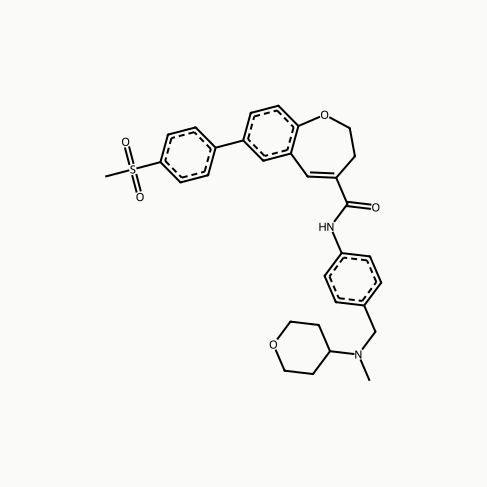 CN(Cc1ccc(NC(=O)C2=Cc3cc(-c4ccc(S(C)(=O)=O)cc4)ccc3OCC2)cc1)C1CCOCC1